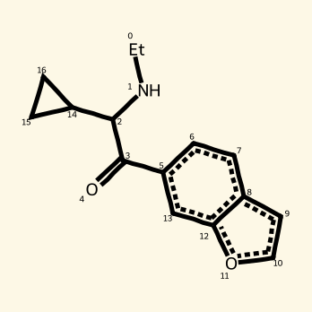 CCNC(C(=O)c1ccc2ccoc2c1)C1CC1